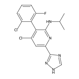 CC(C)Nc1nc(-c2nc[nH]n2)cc(Cl)c1-c1c(F)cccc1Cl